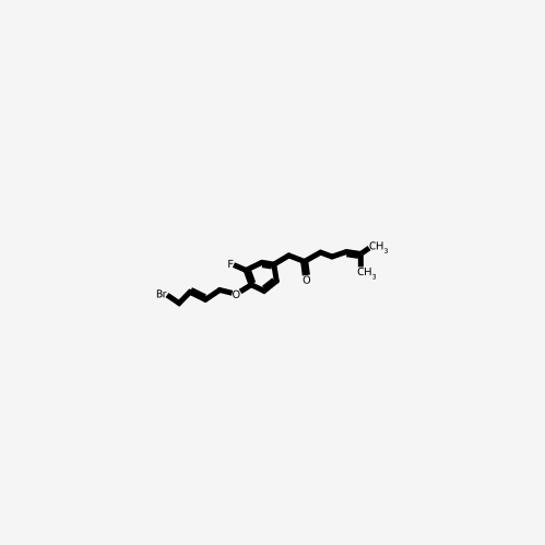 CC(C)=CCCC(=O)Cc1ccc(OCC=CCBr)c(F)c1